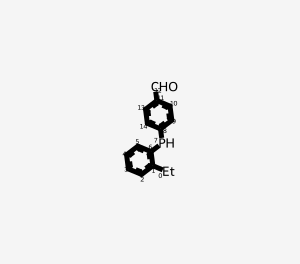 CCc1ccccc1Pc1ccc(C=O)cc1